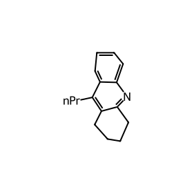 CCCc1c2c(nc3ccccc13)CCCC2